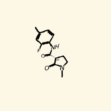 Cc1ccc(NC(=O)[C@@H]2CCN(C)C2=O)c(F)c1